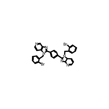 Brc1ccccc1CN1C(c2ccc(-c3nc4cnccc4n3Cc3ccccc3Br)cc2)=NC2N=CC=CC21